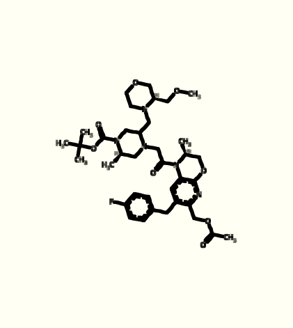 COC[C@@H]1COCCN1CC1CN(C(=O)OC(C)(C)C)[C@H](C)CN1CC(=O)N1c2cc(Cc3ccc(F)cc3)c(COC(C)=O)nc2OC[C@@H]1C